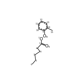 CCCCCC(=O)OOc1ccccc1C